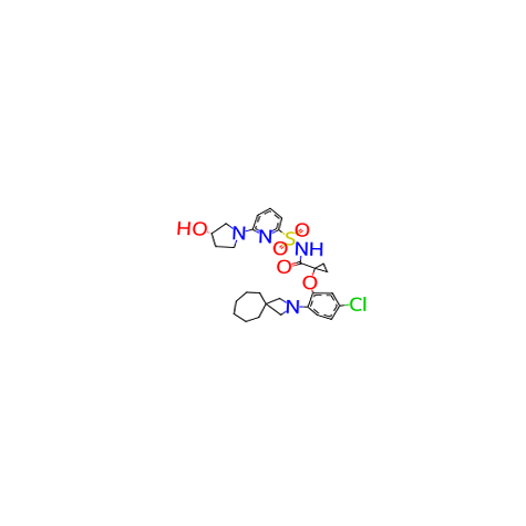 O=C(NS(=O)(=O)c1cccc(N2CC[C@H](O)C2)n1)C1(Oc2cc(Cl)ccc2N2CC3(CCCCCC3)C2)CC1